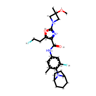 COC1(C)CN(c2nc(C(=O)Nc3cc(C)c(N4C5CCCC4CC5)c(F)c3)c(CCF)o2)C1